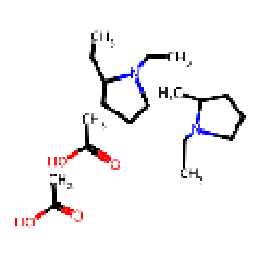 CC(=O)O.CC(=O)O.CCC1CCCN1CC.CCN1CCCC1C